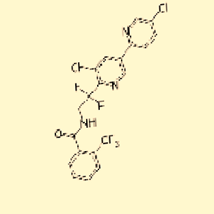 O=C(NCC(F)(F)c1ncc(-c2ccc(Cl)cn2)cc1Cl)c1ccccc1C(F)(F)F